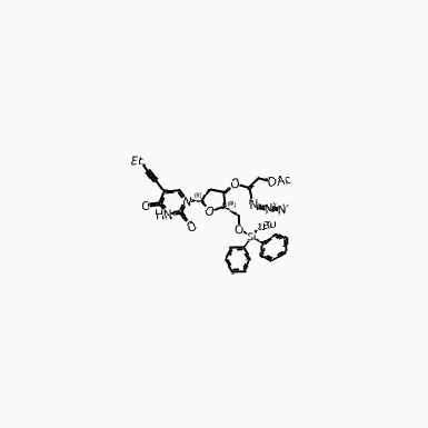 CCC#Cc1cn([C@H]2CC(OC(COC(C)=O)N=[N+]=[N-])[C@@H](CO[Si](c3ccccc3)(c3ccccc3)C(C)(C)C)O2)c(=O)[nH]c1=O